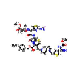 COc1ccc(COC(=O)C2=C(C[n+]3ccc4c(ccn4Cc4cc(C(=N)NC(=O)OC(C)(C)C)cs4)c3)CS[C@@H]3[C@H](NC(=O)/C(=N\OC(C)(C)C(=O)OC(C)(C)C)c4csc(N)n4)C(=O)N23)cc1.[I-]